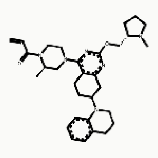 C=CC(=O)N1CCN(c2nc(OC[C@@H]3CCCN3C)nc3c2CCC(N2CCCc4ccccc42)C3)C[C@H]1C